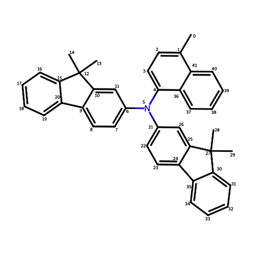 Cc1ccc(N(c2ccc3c(c2)C(C)(C)c2ccccc2-3)c2ccc3c(c2)C(C)(C)c2ccccc2-3)c2ccccc12